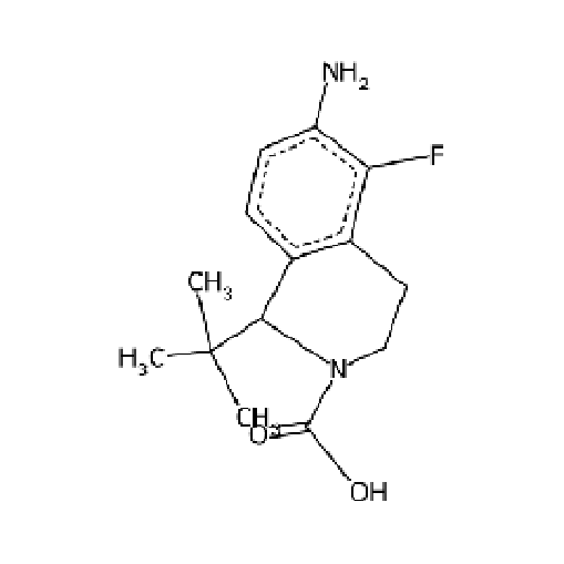 CC(C)(C)C1c2ccc(N)c(F)c2CCN1C(=O)O